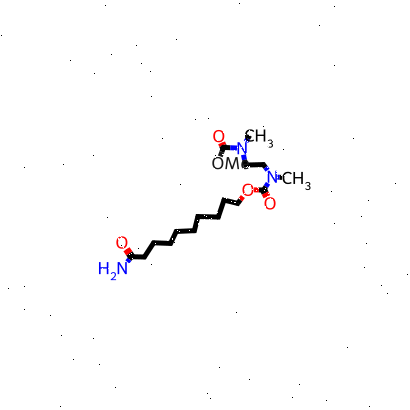 COC(=O)N(C)CCN(C)C(=O)OCCCCCCCCCC(N)=O